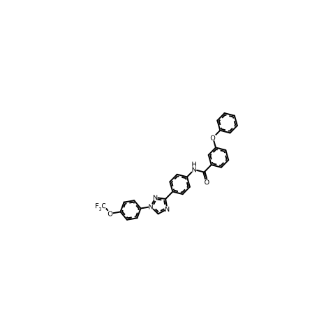 O=C(Nc1ccc(-c2ncn(-c3ccc(OC(F)(F)F)cc3)n2)cc1)c1cccc(Oc2ccccc2)c1